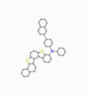 c1ccc(N(c2ccc(-c3ccc4ccccc4c3)cc2)c2cccc3c2sc2ccc4sc5c6ccccc6ccc5c4c23)cc1